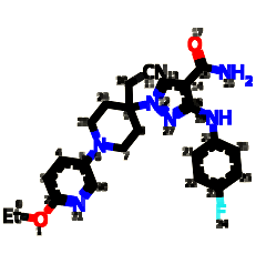 CCOc1ccc(N2CCC(CC#N)(n3cc(C(N)=O)c(Nc4ccc(F)cc4)n3)CC2)cn1